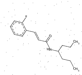 CCCC(CCC)NC(=O)C=Cc1ccccc1F